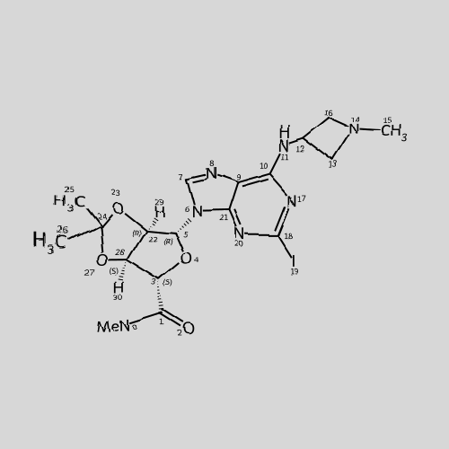 CNC(=O)[C@H]1O[C@@H](n2cnc3c(NC4CN(C)C4)nc(I)nc32)[C@@H]2OC(C)(C)O[C@@H]21